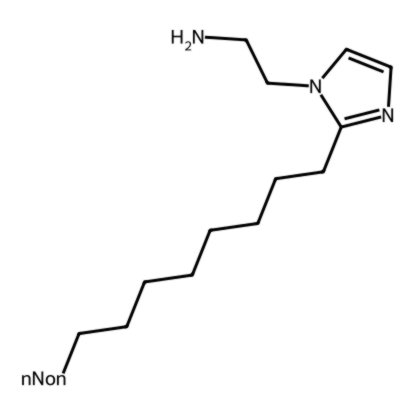 CCCCCCCCCCCCCCCCCc1nccn1CCN